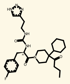 CCCC(=O)C1(C2CCCCC2)CCN(C(=O)[C@@H](Cc2ccc(F)cc2)NC(=O)NCCc2c[nH]nn2)CC1